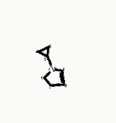 C1=CN(C2CC2)CC1